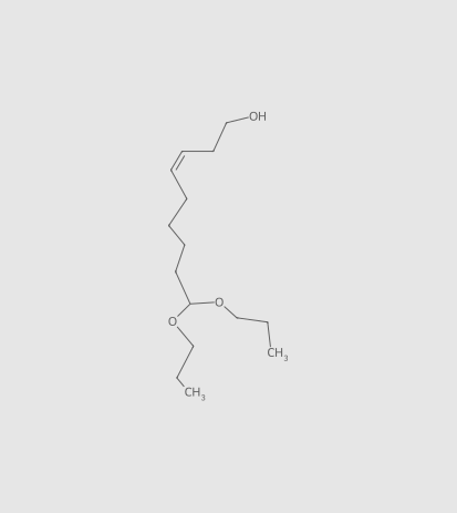 CCCOC(CCCC/C=C\CCO)OCCC